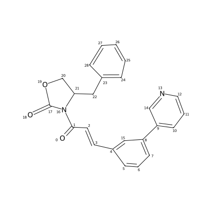 O=C(/C=C/c1cccc(-c2cccnc2)c1)N1C(=O)OCC1Cc1ccccc1